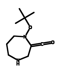 CC(C)(C)ON1CCCNCC1=C=O